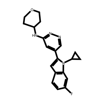 Fc1ccc2cc(-c3cnnc(NC4CCOCC4)c3)n(C3CC3)c2c1